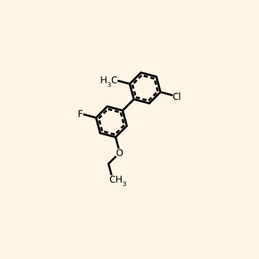 CCOc1cc(F)cc(-c2cc(Cl)ccc2C)c1